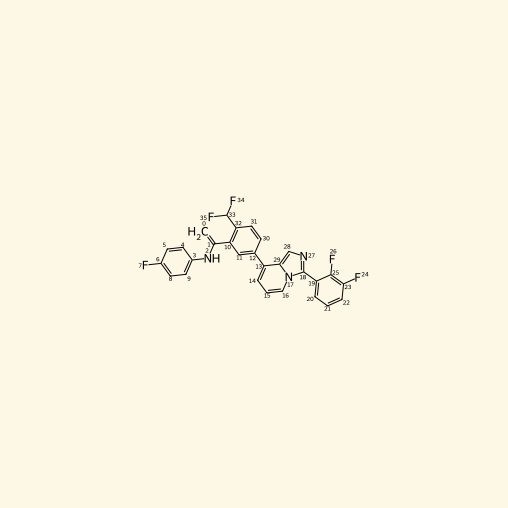 C=C(Nc1ccc(F)cc1)c1cc(-c2cccn3c(-c4cccc(F)c4F)ncc23)ccc1C(F)F